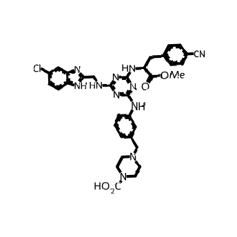 COC(=O)C(Cc1ccc(C#N)cc1)Nc1nc(NCc2nc3cc(Cl)ccc3[nH]2)nc(Nc2cccc(CN3CCN(C(=O)O)CC3)c2)n1